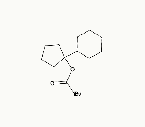 CCC(C)C(=O)OC1(C2CCCCC2)CCCC1